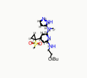 CC(C)COCCNc1cc(C2(S(C)(=O)=O)CC2)cc(N(C)c2ccn[nH]2)n1